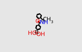 C[C@H](NC(=O)c1ccc(B(O)O)cc1)c1ccccc1